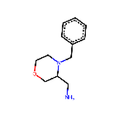 NCC1COCCN1Cc1ccccc1